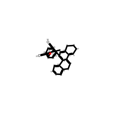 C1=c2c(ccc3c2=CCc2ccccc2-3)CCC1.O=c1oc(=O)c2ccc1cc2